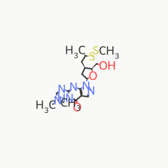 CSS[C@@H](C)C[C@@H]1C[C@H](n2ncc3c(=O)[nH]c(/N=C\N(C)C)nc32)O[C@@H]1CO